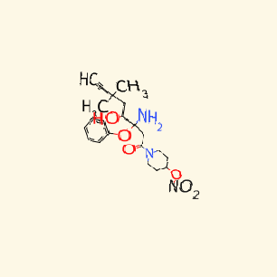 C#CC(C)(C)CC(O)C(N)(CC(=O)N1CCC(O[N+](=O)[O-])CC1)Oc1ccccc1